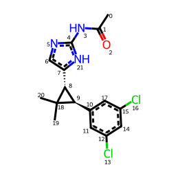 CC(=O)Nc1ncc([C@@H]2[C@@H](c3cc(Cl)cc(Cl)c3)C2(C)C)[nH]1